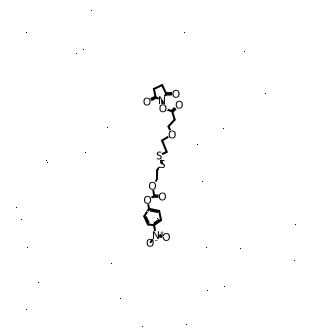 O=C(CCOCCSSCCOC(=O)Oc1ccc([N+](=O)[O-])cc1)ON1C(=O)CCC1=O